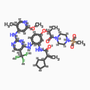 C=C(C(=O)Nc1cc(O[C@@H](C)C(=O)N2CCN(S(C)(=O)=O)CC2)ccc1Nc1nc(Nc2cc(OC)ncc2C)ncc1C(F)(F)F)C1CCCC1